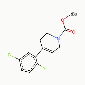 CC(C)(C)OC(=O)N1CC=C(c2cc(F)ccc2F)CC1